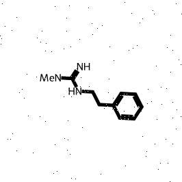 CNC(=N)NCCc1ccccc1